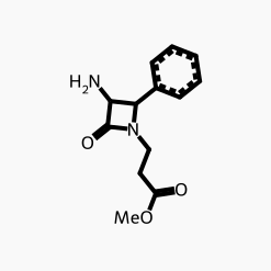 COC(=O)CCN1C(=O)C(N)C1c1ccccc1